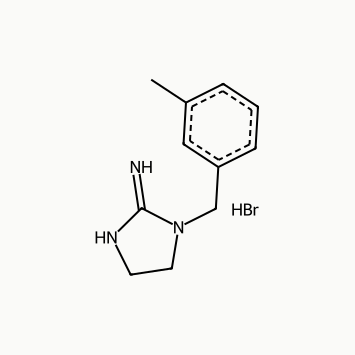 Br.Cc1cccc(CN2CCNC2=N)c1